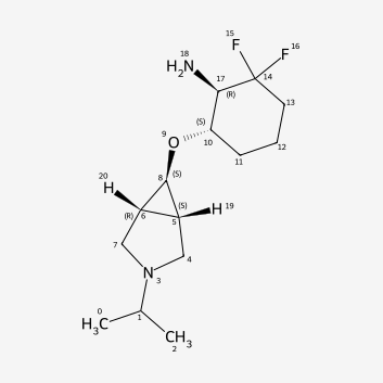 CC(C)N1C[C@@H]2[C@H](C1)[C@H]2O[C@H]1CCCC(F)(F)[C@@H]1N